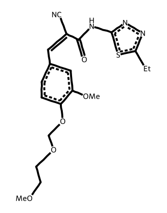 CCc1nnc(NC(=O)C(C#N)=Cc2ccc(OCOCCOC)c(OC)c2)s1